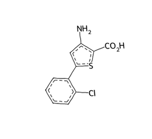 Nc1cc(-c2ccccc2Cl)sc1C(=O)O